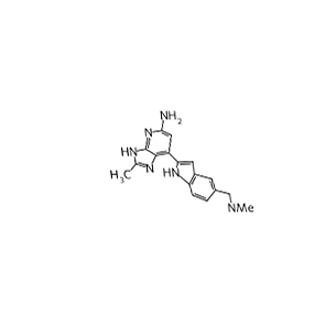 CNCc1ccc2[nH]c(-c3cc(N)nc4[nH]c(C)nc34)cc2c1